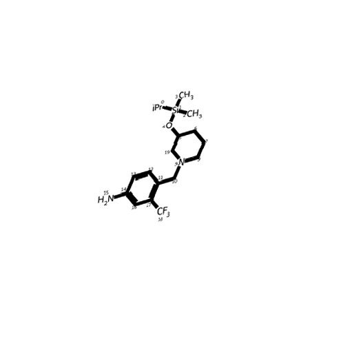 CC(C)[Si](C)(C)OC1CCCN(Cc2ccc(N)cc2C(F)(F)F)C1